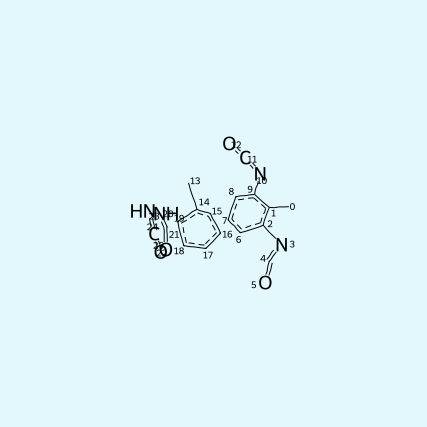 Cc1c(N=C=O)cccc1N=C=O.Cc1ccccc1.N=C=O.N=C=O